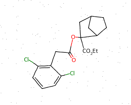 CCOC(=O)C1(OC(=O)Cc2c(Cl)cccc2Cl)CC2CCC1C2